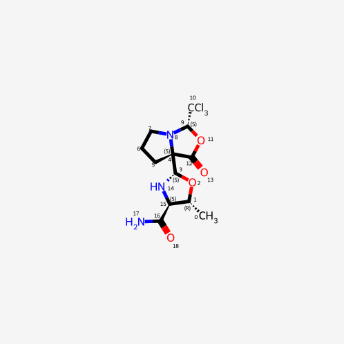 C[C@H]1O[C@@H]([C@]23CCCN2[C@H](C(Cl)(Cl)Cl)OC3=O)N[C@@H]1C(N)=O